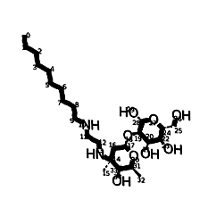 CCCCCCCCCCNCCN[C@@]1(C)C[C@H](O[C@@H]2[C@@H](O)[C@H](O)[C@@H](CO)O[C@H]2O)O[C@@H](C)[C@H]1O